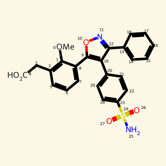 COc1c(CC(=O)O)cccc1-c1onc(-c2ccccc2)c1-c1ccc(S(N)(=O)=O)cc1